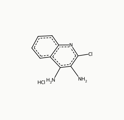 Cl.Nc1c(Cl)nc2ccccc2c1N